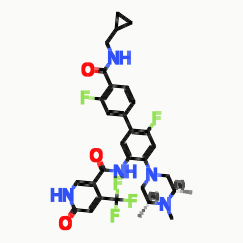 C[C@@H]1CN(c2cc(F)c(-c3ccc(C(=O)NCC4CC4)c(F)c3)cc2NC(=O)c2c[nH]c(=O)cc2C(F)(F)F)C[C@H](C)N1C